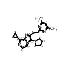 Cc1cc(C)nc(CCc2nc3c(C4CC4)nccn3c2N2CCCC2)n1